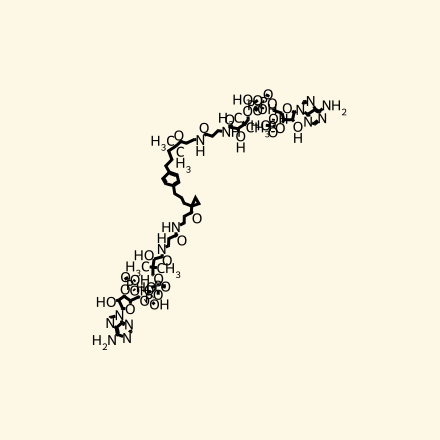 CC(C)(CCCc1ccc(CCCC2(C(=O)CCNC(=O)CCNC(=O)C(O)C(C)(C)COP(=O)(O)OP(=O)(O)OCC3OC(n4cnc5c(N)ncnc54)C(O)C3OP(=O)(O)O)CC2)cc1)C(=O)CCNC(=O)CCNC(=O)C(O)C(C)(C)COP(=O)(O)OP(=O)(O)OCC1OC(n2cnc3c(N)ncnc32)C(O)C1OP(=O)(O)O